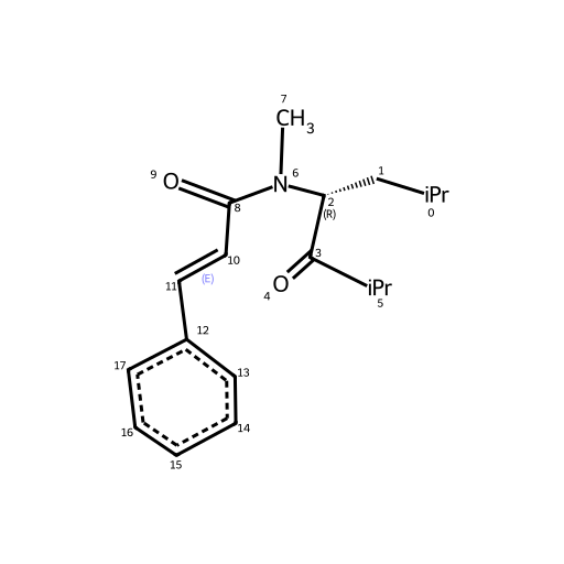 CC(C)C[C@H](C(=O)C(C)C)N(C)C(=O)/C=C/c1ccccc1